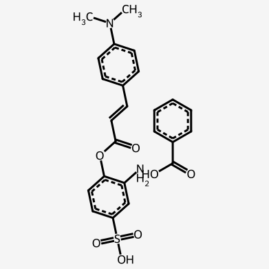 CN(C)c1ccc(C=CC(=O)Oc2ccc(S(=O)(=O)O)cc2N)cc1.O=C(O)c1ccccc1